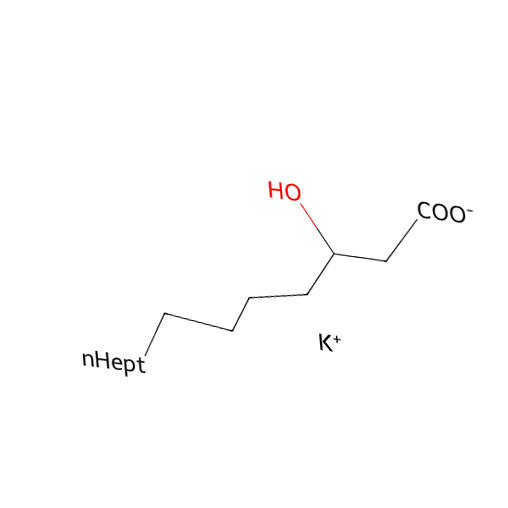 CCCCCCCCCCCC(O)CC(=O)[O-].[K+]